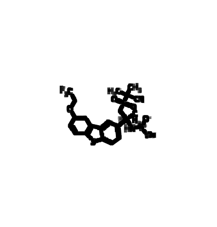 CC(C)(C)[S+]([O-])N[C@@](C)(CS(=O)(=O)C(C)(C)C#N)c1ccc2sc3ccc(OCC(F)(F)F)cc3c2c1